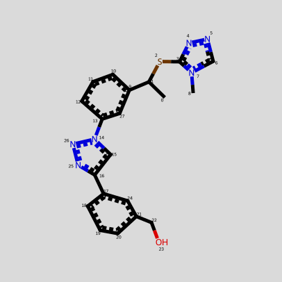 CC(Sc1nncn1C)c1cccc(-n2cc(-c3cccc(CO)c3)nn2)c1